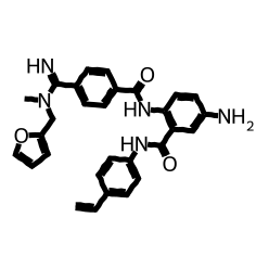 C=Cc1ccc(NC(=O)c2cc(N)ccc2NC(=O)c2ccc(C(=N)N(C)Cc3ccco3)cc2)cc1